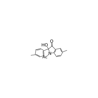 CC(=O)N1c2ccc(C)cc2C(=O)C1(O)c1ccc(C)cc1